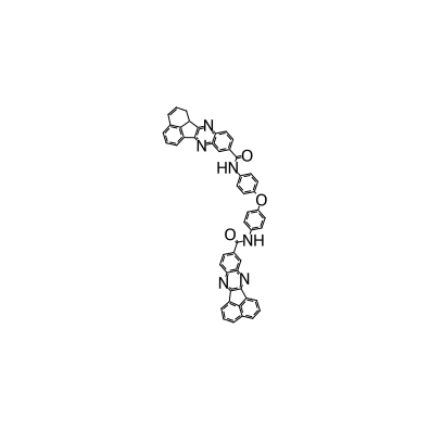 O=C(Nc1ccc(Oc2ccc(NC(=O)c3ccc4nc5c(nc4c3)-c3cccc4c3C5CC=C4)cc2)cc1)c1ccc2nc3c(nc2c1)-c1cccc2cccc-3c12